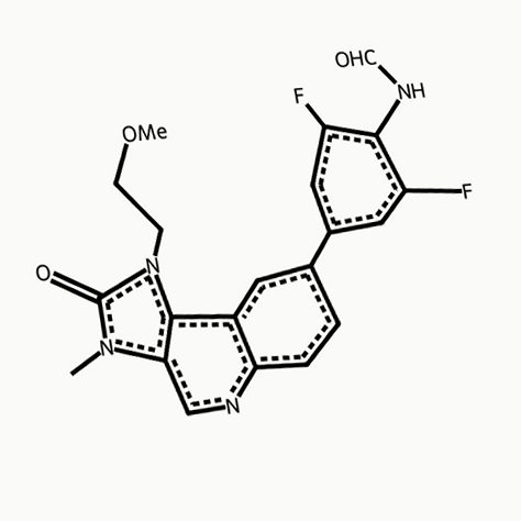 COCCn1c(=O)n(C)c2cnc3ccc(-c4cc(F)c(NC=O)c(F)c4)cc3c21